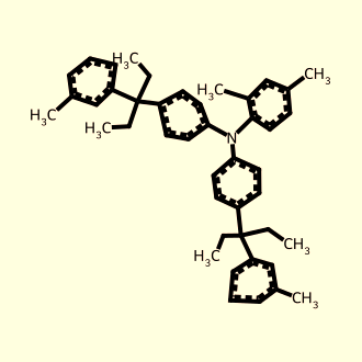 CCC(CC)(c1ccc(N(c2ccc(C(CC)(CC)c3cccc(C)c3)cc2)c2ccc(C)cc2C)cc1)c1cccc(C)c1